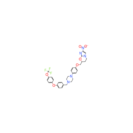 O=[N+]([O-])c1cn2c(n1)OC(COc1ccc(N3CCN(Cc4ccc(Oc5ccc(OC(F)(F)F)cc5)cc4)CC3)cc1)CC2